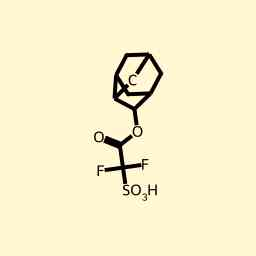 O=C(OC1C2CC3CC(C2)C1C3)C(F)(F)S(=O)(=O)O